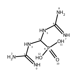 N=C(N)NC(NC(=N)N)P(=O)(O)O